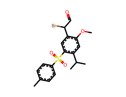 COc1cc(C(C)C)c(S(=O)(=O)c2ccc(C)cc2)cc1C(Br)C=O